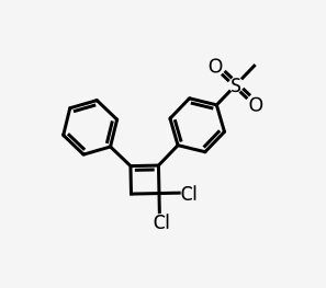 CS(=O)(=O)c1ccc(C2=C(c3ccccc3)CC2(Cl)Cl)cc1